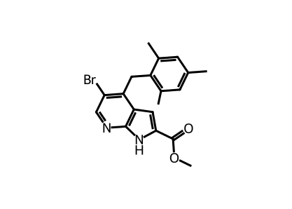 COC(=O)c1cc2c(Cc3c(C)cc(C)cc3C)c(Br)cnc2[nH]1